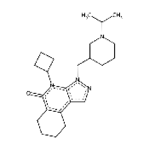 CC(C)N1CCCC(Cn2ncc3c4c(c(=O)n(C5CCC5)c32)CCCC4)C1